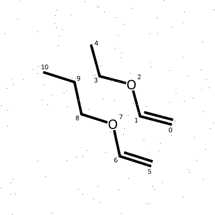 C=COCC.C=COCCC